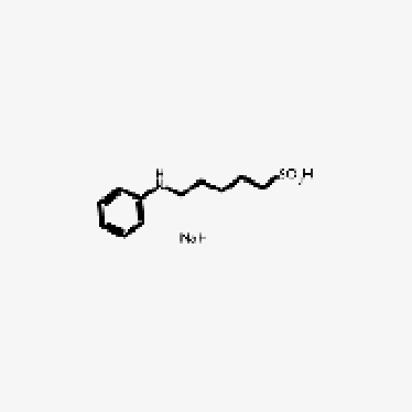 O=S(=O)(O)CCCCCNc1ccccc1.[NaH]